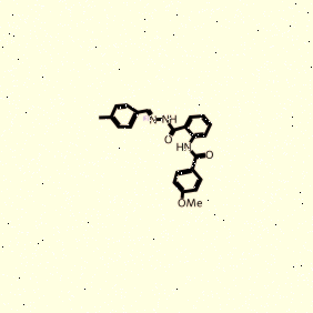 COc1ccc(C(=O)Nc2ccccc2C(=O)N/N=C/c2ccc(C)cc2)cc1